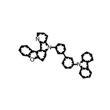 c1cc(-c2cccc(-n3c4cccnc4c4c5c(ccc43)oc3ccccc35)c2)cc(-n2c3ccccc3c3ccccc32)c1